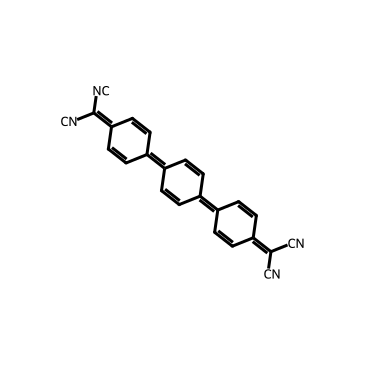 [C-]#[N+]C([N+]#[C-])=c1ccc(=c2ccc(=c3ccc(=C(C#N)C#N)cc3)cc2)cc1